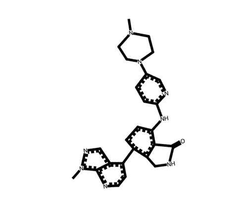 CN1CCN(c2ccc(Nc3ccc(-c4ccnc5c4cnn5C)c4c3C(=O)NC4)nc2)CC1